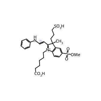 COS(=O)(=O)c1ccc2c(c1)C(C)(CCCS(=O)(=O)O)C(/C=C/Nc1ccccc1)=[N+]2CCCCCC(=O)O